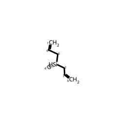 C=CC[SiH]([O])CC=C